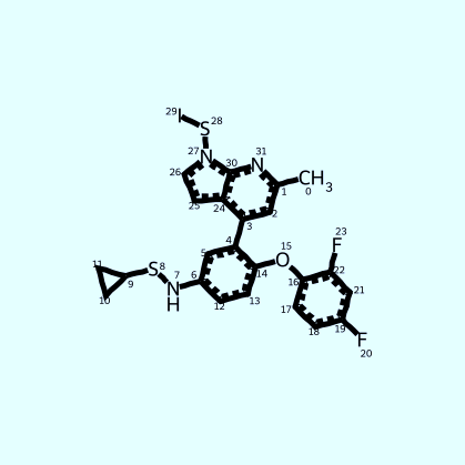 Cc1cc(-c2cc(NSC3CC3)ccc2Oc2ccc(F)cc2F)c2ccn(SI)c2n1